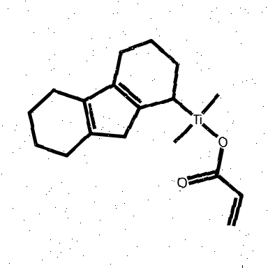 C=CC(=O)[O][Ti]([CH3])([CH3])[CH]1CCCC2=C1CC1=C2CCCC1